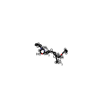 C/C(=C\c1cccc(S(=O)(=O)N2CCCC2)c1)[C@H]1OC(=O)C[C@H](O)CC[C@H](C)[C@@H](OC(=O)N2CCN(C(=O)OCc3ccc(NC(=O)[C@H](CCCNC(N)=O)NC(=O)[C@@H](NC(=O)CCCCCN4C(=O)C=CC4=O)C(C)C)cc3)CC2)/C=C/[C@@H]1C